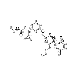 CCCCc1nc(COc2cccc([C@@H](CC(=O)OCC)C3CC3)c2)cnc1-c1cc(C)ccc1F